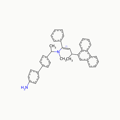 CC(/C=C(/c1ccccc1)N(C)C(C)c1ccc(-c2ccc(N)cc2)cc1)c1cc2ccccc2c2ccccc12